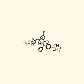 Cc1ncc(CC(=O)N2CC(F)CC2C(=O)NC(c2ccccc2)c2ccc(C(C)C)cc2)s1